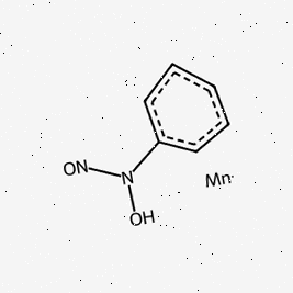 O=NN(O)c1ccccc1.[Mn]